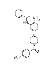 CC(Nc1cc(N2CCN(C(=O)c3ccc(C(C)(C)C)cc3)CC2)ccc1[N+](=O)[O-])c1ccccc1